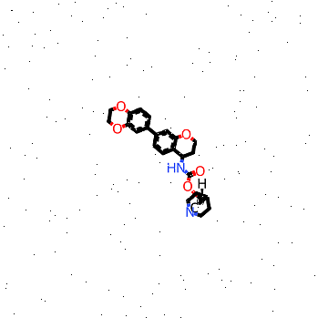 O=C(NC1CCOc2cc(-c3ccc4c(c3)OCCO4)ccc21)O[C@H]1CN2CCC1CC2